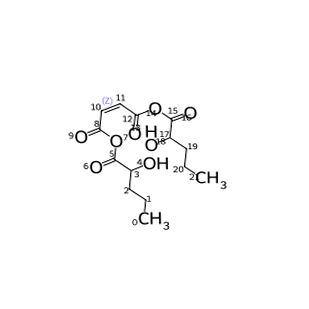 CCCC(O)C(=O)OC(=O)/C=C\C(=O)OC(=O)C(O)CCC